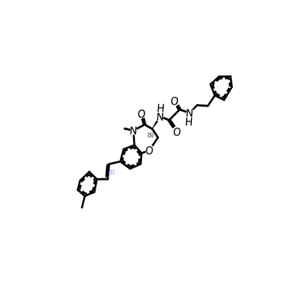 Cc1cccc(/C=C/c2ccc3c(c2)N(C)C(=O)[C@@H](NC(=O)C(=O)NCCc2ccccc2)CO3)c1